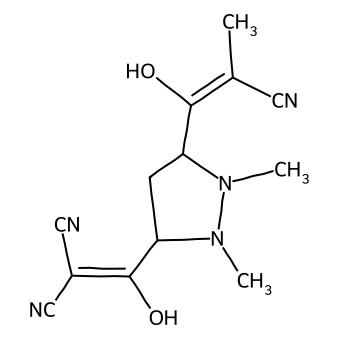 C/C(C#N)=C(\O)C1CC(C(O)=C(C#N)C#N)N(C)N1C